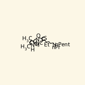 CCCCCN(CCC)CCCC(CC)c1scc(C(=O)NCc2c(C)cc(C)[nH]c2=O)c1C